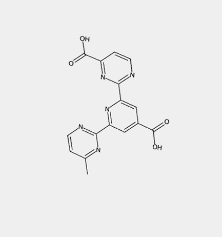 Cc1ccnc(-c2cc(C(=O)O)cc(-c3nccc(C(=O)O)n3)n2)n1